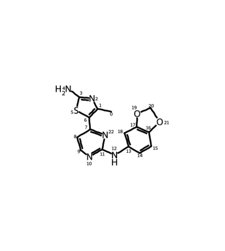 Cc1nc(N)sc1-c1ccnc(Nc2ccc3c(c2)OCO3)n1